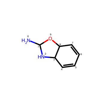 NC1NC2C=CC=CC2O1